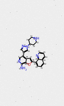 Nc1ncc(-c2cnn(C3CCNCC3)c2)c2cc(-c3cccc4cccnc34)oc12